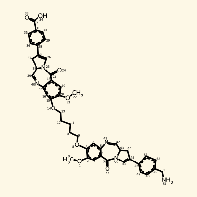 COc1cc2c(cc1OCCCCCOc1cc3c(cc1OC)C(=O)N1C=C(c4ccc(C(=O)O)cc4)CC1C=N3)N=CC1CC(c3ccc(CN)cc3)=CN1C2=O